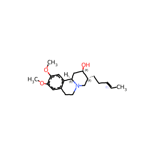 C/C=C/CC[C@@H]1CN2CCc3cc(OC)c(OC)cc3[C@H]2C[C@H]1O